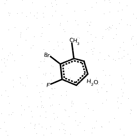 Cc1cccc(F)c1Br.O